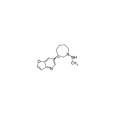 CNN1CCCC[C@H](c2cnc3ccoc3c2)C1